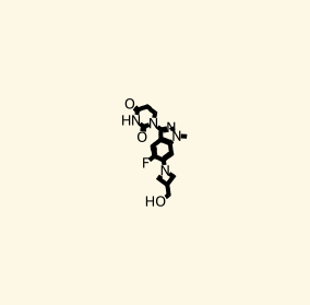 Cn1nc(N2CCC(=O)NC2=O)c2cc(F)c(N3CC(CO)C3)cc21